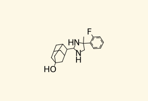 CC1(c2ccccc2F)CNC(C2C3CC4CC2CC(O)(C4)C3)N1